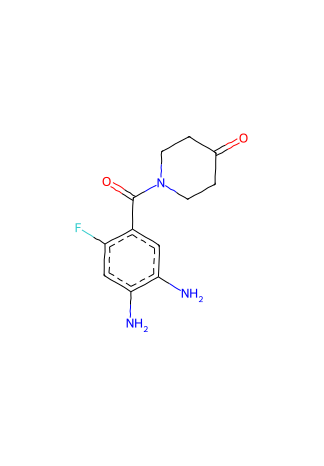 Nc1cc(F)c(C(=O)N2CCC(=O)CC2)cc1N